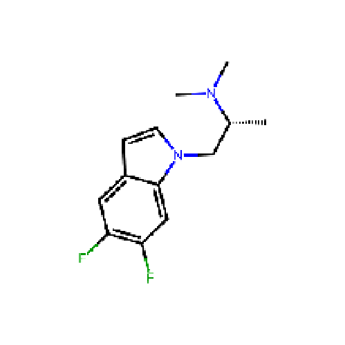 C[C@H](Cn1ccc2cc(F)c(F)cc21)N(C)C